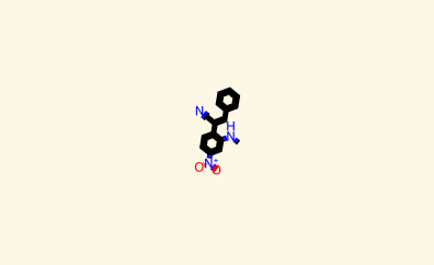 CNc1cc([N+](=O)[O-])ccc1C(C#N)=Cc1ccccc1